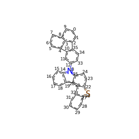 c1cc2c3c(cccc3c1)-c1cc(-n3c4ccccc4c4c5c(ccc43)sc3ccccc35)ccc1-2